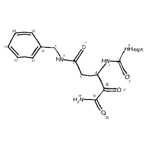 CCCCCCCC(=O)NC(CC(=O)NCc1ccccc1)C(=O)C(N)=O